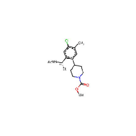 CC[C@H](NC(C)=O)c1cc(Cl)c(C)cc1C1CCN(C(=O)OC(C)(C)C)CC1